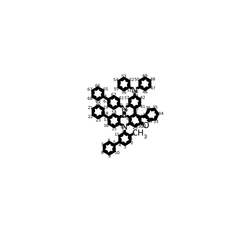 Cc1ccc(-c2ccccc2)cc1N1c2ccc(-c3ccccc3)cc2B2c3c1cc1oc4ccccc4c1c3-c1ccc(N(c3ccccc3)c3ccccc3)cc1N2c1ccc(-c2ccccc2)cc1